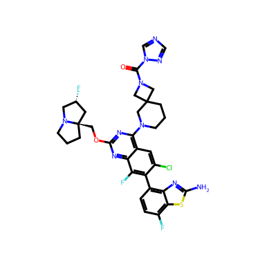 Nc1nc2c(-c3c(Cl)cc4c(N5CCCC6(CN(C(=O)n7cncn7)C6)C5)nc(OC[C@@]56CCCN5C[C@H](F)C6)nc4c3F)ccc(F)c2s1